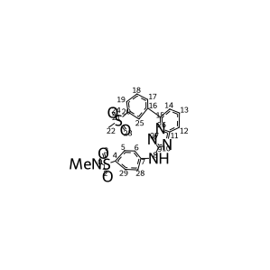 CNS(=O)(=O)c1ccc(Nc2nc3cccc(-c4cccc(S(C)(=O)=O)c4)n3n2)cc1